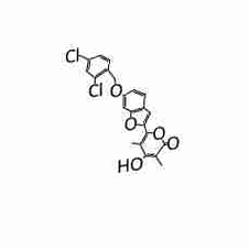 Cc1c(-c2cc3ccc(OCc4ccc(Cl)cc4Cl)cc3o2)oc(=O)c(C)c1O